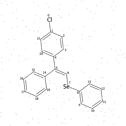 Clc1ccc(C(=C[Se]c2ccccc2)c2ccccc2)cc1